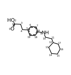 O=C(O)CCc1ccc(NCCC2CCCCC2)cc1